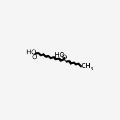 CCCCCC=CC[C@@H](C=CC=CCC=CCCCC(=O)O)OO